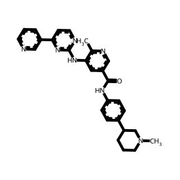 Cc1ncc(C(=O)Nc2ccc(C3CCCN(C)C3)cc2)cc1Nc1nccc(-c2cccnc2)n1